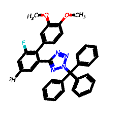 [2H]c1cc(F)c(-c2ccc(OC)c(OC)c2)c(-c2nnn(C(c3ccccc3)(c3ccccc3)c3ccccc3)n2)c1